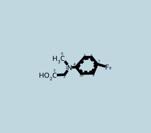 CN(CC(=O)O)c1ccc(F)cc1